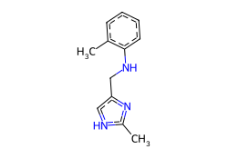 Cc1nc(CNc2ccccc2C)c[nH]1